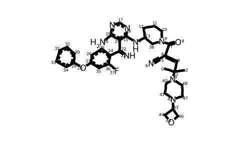 CC(C)(C=C(C#N)C(=O)N1CCCC(Nc2ncnc(N)c2C(=N)c2ccc(Oc3ccccc3)cc2F)C1)N1CCN(C2COC2)CC1